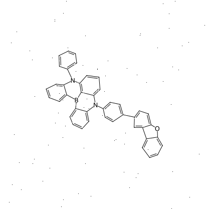 c1ccc(N2c3ccccc3B3c4ccccc4N(c4ccc(-c5ccc6oc7ccccc7c6c5)cc4)c4cccc2c43)cc1